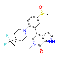 Cn1cc(-c2cc([S+](C)[O-])ccc2N2CCC3(CC2)CC3(F)F)c2cc[nH]c2c1=O